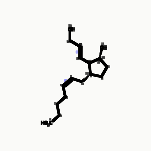 O=C(O)CCC/C=C\C[C@H]1CC[C@@H](O)C1/C=C/CO